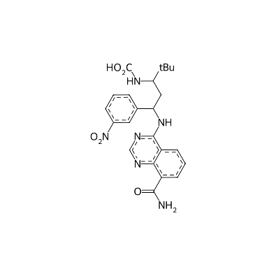 CC(C)(C)C(CC(Nc1ncnc2c(C(N)=O)cccc12)c1cccc([N+](=O)[O-])c1)NC(=O)O